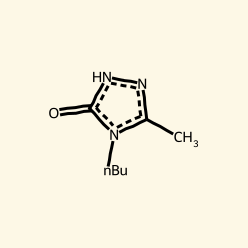 CCCCn1c(C)n[nH]c1=O